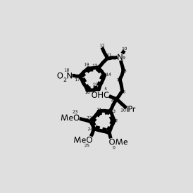 COc1cc(C(C=O)(CCCN(C)C(C)c2cccc([N+](=O)[O-])c2)C(C)C)cc(OC)c1OC